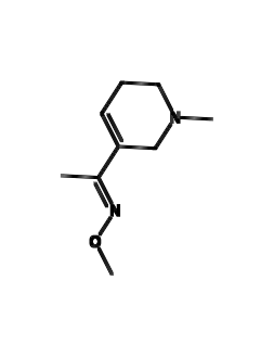 CON=C(C)C1=CCCN(C)C1